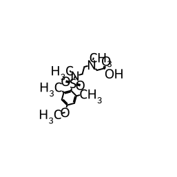 COc1cc(C)c(S(=O)(=O)N(C)CCN(C)CC(=O)O)c(C)c1